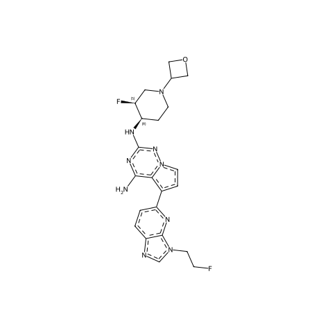 Nc1nc(N[C@@H]2CCN(C3COC3)C[C@@H]2F)nn2ccc(-c3ccc4ncn(CCF)c4n3)c12